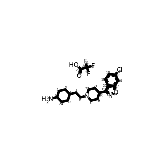 NC1CCC(CCN2CCC(c3noc4cc(Cl)ccc34)CC2)CC1.O=C(O)C(F)(F)F